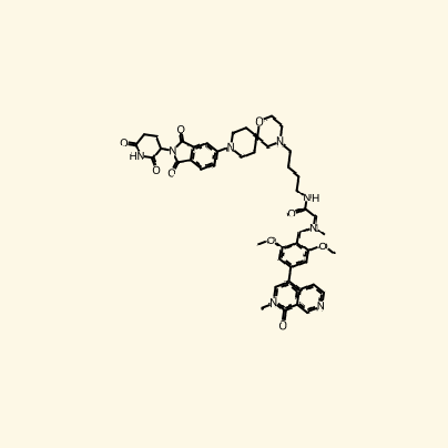 COc1cc(-c2cn(C)c(=O)c3cnccc23)cc(OC)c1CN(C)CC(=O)NCCCCN1CCOC2(CCN(c3ccc4c(c3)C(=O)N(C3CCC(=O)NC3=O)C4=O)CC2)C1